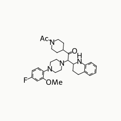 COc1cc(F)ccc1N1CCN(C(C(=O)C2CCN(C(C)=O)CC2)C2CCc3ccccc3N2)CC1